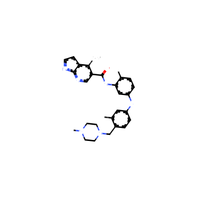 CCN1CCN(Cc2ccc(Nc3ccc(C)c(NC(=O)c4cnc5[nH]ccc5c4NC)c3)cc2C(F)(F)F)CC1